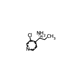 CC[C@@H](N)c1ccncc1Cl